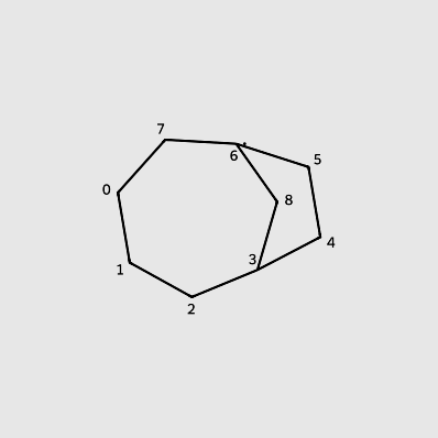 C1CCC2CC[C](C1)C2